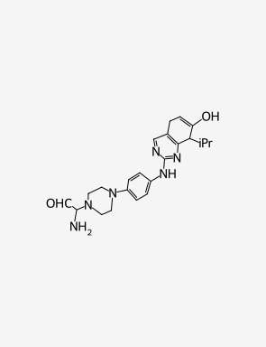 CC(C)C1C(O)=CCc2cnc(Nc3ccc(N4CCN(C(N)C=O)CC4)cc3)nc21